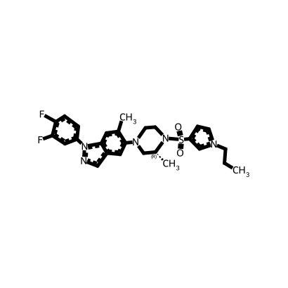 CCCn1ccc(S(=O)(=O)N2CCN(c3cc4cnn(-c5ccc(F)c(F)c5)c4cc3C)C[C@H]2C)c1